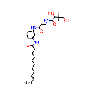 CCCCCCCCC=CCCCCCCCC(=O)Nc1cccc(NC(=O)CCNC(=O)C(O)C(C)(C)CO)c1